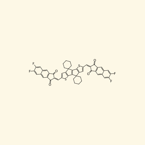 O=C1C(=Cc2cc3c(s2)C2=C(c4sc(C=C5C(=O)c6cc7cc(F)c(F)cc7cc6C5=O)cc4C24CCCCC4)C32CCCCC2)C(=O)c2cc3cc(F)c(F)cc3cc21